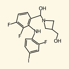 OCC1CN(C(O)c2ccc(F)c(F)c2Nc2ccc(I)cc2F)C1